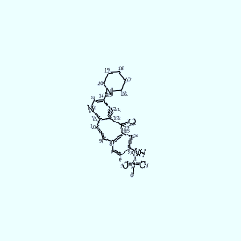 CS(=O)(=O)Nc1ccc2ccc3ncc(N4CCCCC4)cc3c(=O)c2c1